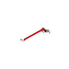 C=CCCCCCCCCCCCCCCCCCCCCCCCCCCCOP(=O)([O-])OCC[N+](C)(C)C